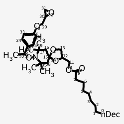 CCCCCCCCCCCCCCCCCC(=O)OCC1COC2(CC(C)(C)N(OC(C)c3ccc(OCC4CO4)cc3)C(C)(C)C2)O1